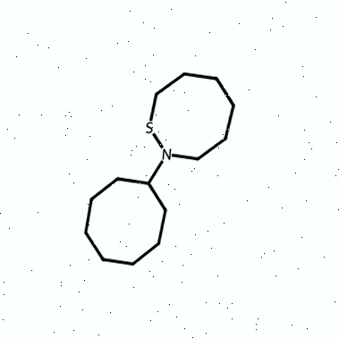 C1CCCC(N2CCCCCCS2)CCC1